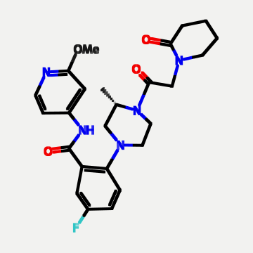 COc1cc(NC(=O)c2cc(F)ccc2N2CCN(C(=O)CN3CCCCC3=O)[C@@H](C)C2)ccn1